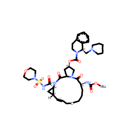 CC(C)(C)OC(=O)N[C@H]1CCCCC/C=C/[C@@H]2C[C@@]2(C(=O)NS(=O)(=O)N2CCOCC2)NC(=O)C2C[C@@H](OC(=O)N3CCc4ccccc4[C@H]3CN3CCCCC3)CN2C1=O